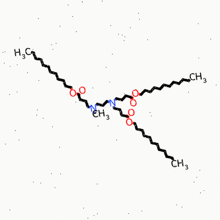 CCCCCCCCCCCCOC(=O)CCCN(C)CCCN(CCCC(=O)OCCCCCCCCCCCC)CCCC(=O)OCCCCCCCCCCCC